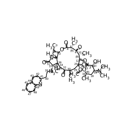 CC[C@H]1OC(=O)[C@H](C)C(=O)[C@H](C)[C@@H](O[C@@H]2O[C@H](C)C[C@H](N(C)C)[C@H]2O)[C@](C)(OC)C[C@@H](C)C(=O)[C@H](C)[C@H]2[C@H](SCCc3ccc4ccccc4n3)C(=O)O[C@@]21C